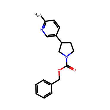 Bc1ccc(C2CCN(C(=O)OCc3ccccc3)C2)cn1